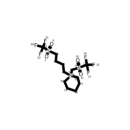 O=S(=O)(CCCC[N+]1(CS(=O)(=O)C(F)(F)F)CCCCC1)C(F)(F)F